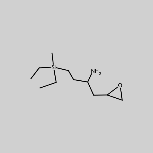 CC[Si](C)(CC)CCC(N)CC1CO1